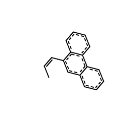 C/C=C\c1cc2ccccc2c2ccccc12